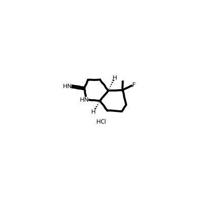 CC1(F)CCC[C@H]2NC(=N)CC[C@H]21.Cl